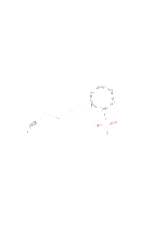 N#CCCCCc1ccccc1S(=O)(=O)O